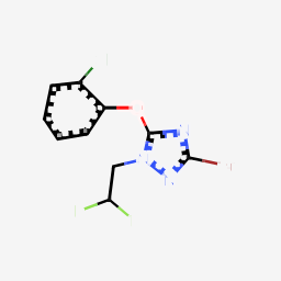 FC(F)Cn1nc(Br)nc1Oc1ccccc1Cl